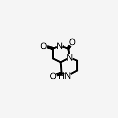 O=C1CC2C(=O)NCCN2C(=O)[N]1